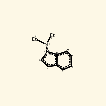 CCN(CC)n1[c]cc2ccccc21